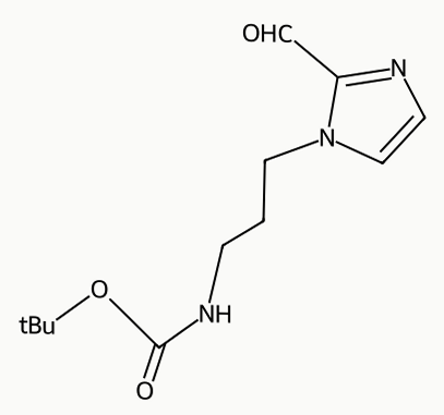 CC(C)(C)OC(=O)NCCCn1ccnc1C=O